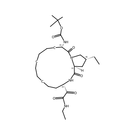 CCNC(=O)C(=O)[C@@H]1CCCCCCCCC[C@H](NC(=O)OC(C)(C)C)C(=O)N2C[C@H](CC)C[C@H]2C(=O)N1